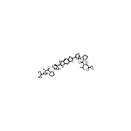 COC(=O)N[C@@H](C)C(=O)N1CCC[C@H]1c1ncc(-c2nc3cc4nc(-c5cnc([C@@H]6CCCN6C(=O)[C@@H](NC(=O)OC)C(C)C)[nH]5)sc4cc3s2)[nH]1